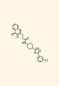 O=C(CCc1nc2ccccc2c(=O)[nH]1)NC1CCC(c2nnc(-c3cccc(Cl)c3)o2)CC1